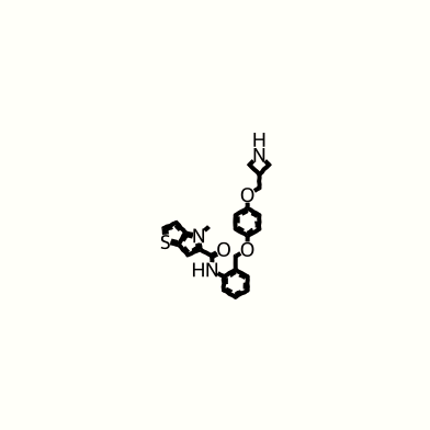 Cn1c(C(=O)Nc2ccccc2COc2ccc(OCC3CNC3)cc2)cc2sccc21